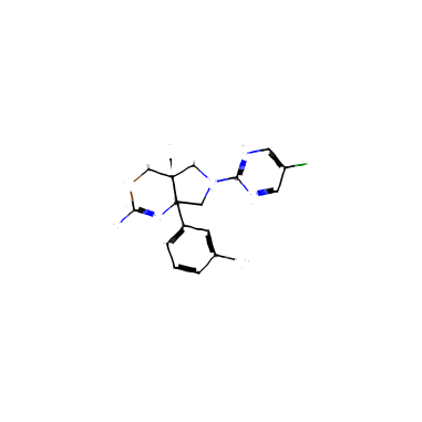 N#Cc1cccc(C23CN(c4ncc(F)cn4)C[C@H]2CSC(N)=N3)c1